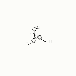 C=CC(=O)Nc1cccc(-n2c(NC(=O)c3cccc(C(F)(F)F)c3)nc3cc(COCC)ccc32)c1